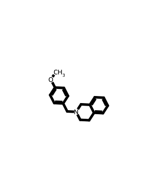 COc1ccc(CN2CCc3ccccc3C2)cc1